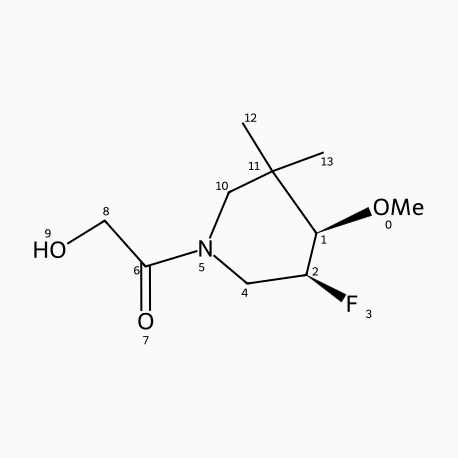 CO[C@H]1[C@@H](F)CN(C(=O)CO)CC1(C)C